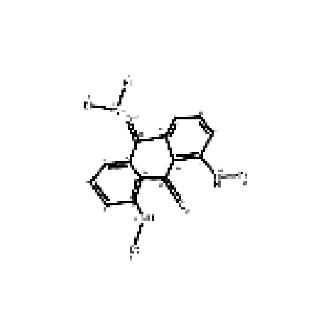 CCNCC.CCNc1cccc2c1C(=O)c1c(NCC)cccc1C2=O